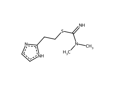 CN(C)C(=N)SCCc1ncc[nH]1